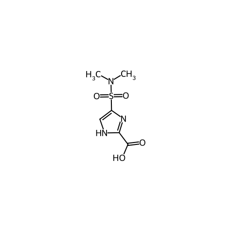 CN(C)S(=O)(=O)c1c[nH]c(C(=O)O)n1